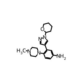 CN1CCN(c2ccc(N)cc2-c2cnn(C3CCCCO3)c2)CC1